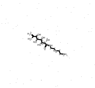 C=C(C)C(O)[C@H](O)[C@@H](O)[C@H](O)[C@H](O)C(=O)NCCNCCN